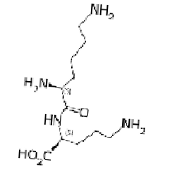 NCCCC[C@H](N)C(=O)N[C@@H](CCCN)C(=O)O